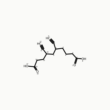 C#CC(CCCC(=O)O)CC(C#C)CCC(=O)O